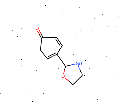 O=C1C=CC(C2NCCO2)=CC1